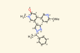 COc1ccc(-c2cc(=O)n(C)cc2-c2cnn(C(C)c3ccccc3)c2)cn1